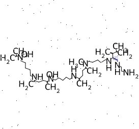 C=C(CCC(=C)N(C)CCCCCN/C(=C\NCCN)C(=C)C(=C)C)NCCCCCN(O)C(=C)CCC(=C)NCCCCCN(O)C(=C)C